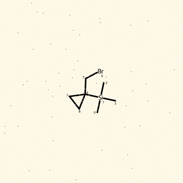 C[Si](C)(C)C1(CBr)CC1